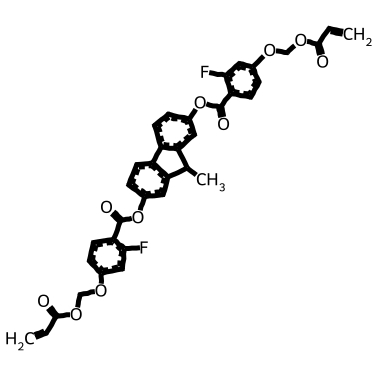 C=CC(=O)OCOc1ccc(C(=O)Oc2ccc3c(c2)C(C)c2cc(OC(=O)c4ccc(OCOC(=O)C=C)cc4F)ccc2-3)c(F)c1